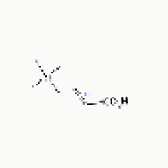 C[Si](C)(C)C/C=C/C(=O)O